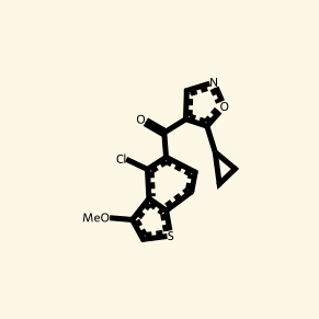 COc1csc2ccc(C(=O)c3cnoc3C3CC3)c(Cl)c12